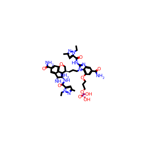 CCn1nc(C)cc1C(=O)Nc1nc2cc(C(N)=O)cc(OCCCOP(=O)(O)O)c2n1CCC[C@@H]1COc2cc(C(N)=O)cc3c2[C@]1(N)[C@@H](NC(=O)c1cc(C)nn1CC)[C@H]3N